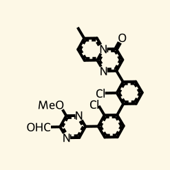 COc1nc(-c2cccc(-c3cccc(-c4cc(=O)n5cc(C)ccc5n4)c3Cl)c2Cl)cnc1C=O